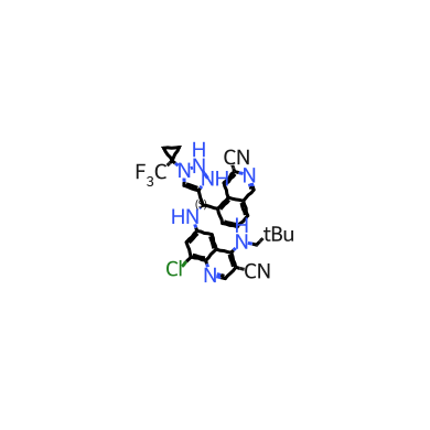 CC(C)(C)CNc1c(C#N)cnc2c(Cl)cc(N[C@H](C3=CN(C4(C(F)(F)F)CC4)NN3)c3cccc4cnc(C#N)cc34)cc12